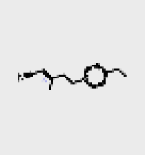 CCc1ccc(CC/C(C)=C/C#N)cc1